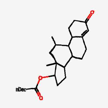 CCCCCCCCCCC(=O)OC1CCC2C3CCC4=CC(=O)CCC4C3C(C)CC12C